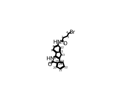 O=C(CCCBr)Nc1ccc2c(c1)Cc1c-2[nH]c(=O)c2ccccc12